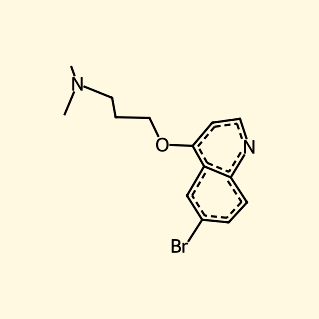 CN(C)CCCOc1ccnc2ccc(Br)cc12